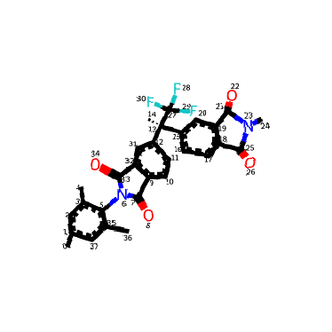 Cc1cc(C)c(N2C(=O)c3ccc([C@](C)(c4ccc5c(c4)C(=O)N(C)C5=O)C(F)(F)F)cc3C2=O)c(C)c1